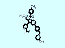 COCc1c(-c2ccnc(C(F)F)c2)c2cc(-c3ccc(CN4CCCC(O)C4)cc3)cnc2n1S(=O)(=O)c1ccc(C)cc1